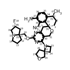 C[C@H]1CC[C@]2(Cc3nc(OC[C@@]45CCCN4C[C@H](F)C5)nc(N4CC[C@@]45CCOC5)c3CO2)c2c1ccc(N)c2C#N